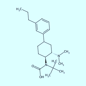 CCCc1cccc(C2CC[C@H](N(C(=O)O)C(C)(C)C)[C@@H](N(C)C)C2)c1